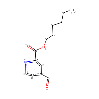 CCCCCCOC(=O)c1cc(C=O)ccn1